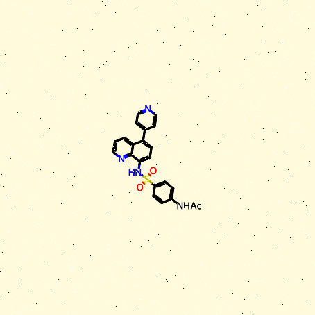 CC(=O)Nc1ccc(S(=O)(=O)Nc2ccc(-c3ccncc3)c3cccnc23)cc1